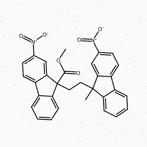 COC(=O)C1(CCC2(C)c3ccccc3-c3ccc([N+](=O)[O-])cc32)c2ccccc2-c2ccc([N+](=O)[O-])cc21